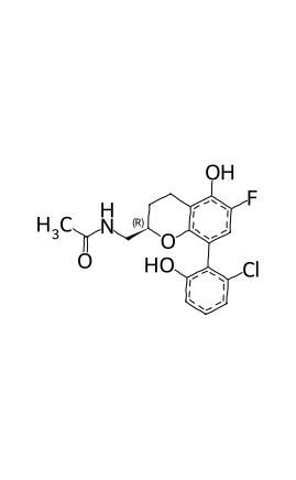 CC(=O)NC[C@H]1CCc2c(O)c(F)cc(-c3c(O)cccc3Cl)c2O1